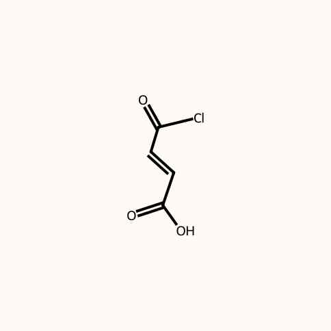 O=C(O)C=CC(=O)Cl